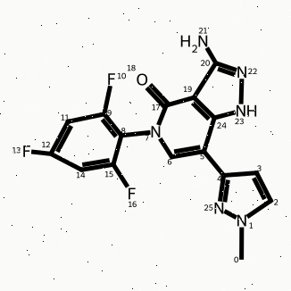 Cn1ccc(-c2cn(-c3c(F)cc(F)cc3F)c(=O)c3c(N)n[nH]c23)n1